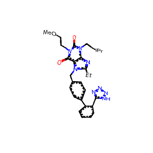 CCc1nc2c(c(=O)n(CCOC)c(=O)n2CC(C)C)n1Cc1ccc(-c2ccccc2-c2nnn[nH]2)cc1